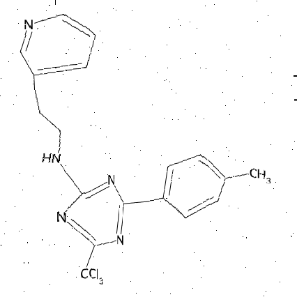 Cc1ccc(-c2nc(NCCc3cccnc3)nc(C(Cl)(Cl)Cl)n2)cc1